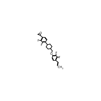 C/C=C/c1ccc(OCC2CCC(c3ccc(C4CO4)c(F)c3F)CC2)c(F)c1F